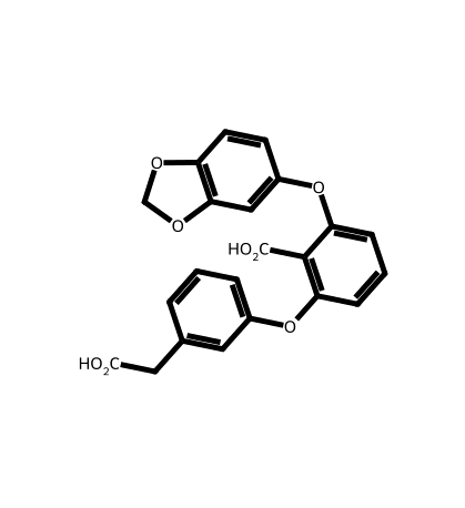 O=C(O)Cc1cccc(Oc2cccc(Oc3ccc4c(c3)OCO4)c2C(=O)O)c1